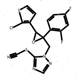 N#CSc1ncnn1CC1(c2ccc(F)cc2F)OC1c1ccsc1Cl